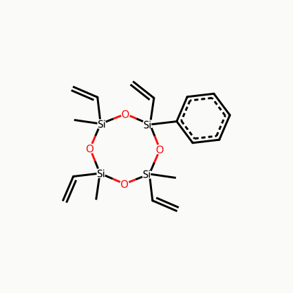 C=C[Si]1(C)O[Si](C)(C=C)O[Si](C=C)(c2ccccc2)O[Si](C)(C=C)O1